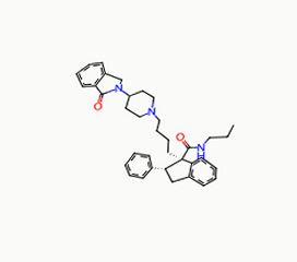 CCCNC(=O)[C@@]1(CCCCN2CCC(N3Cc4ccccc4C3=O)CC2)c2ccccc2C[C@@H]1c1ccccc1